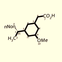 CCCCCCCCC[C@@H](C)C1CC(CC(=O)O)CC(OC)C1